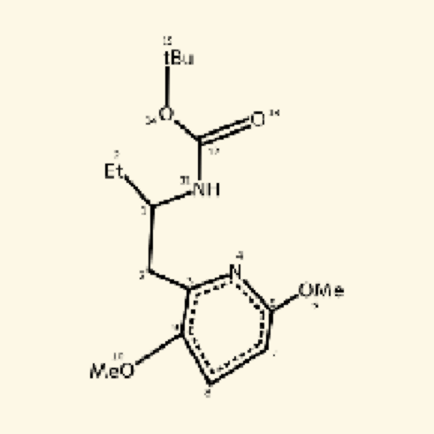 CCC(Cc1nc(OC)ccc1OC)NC(=O)OC(C)(C)C